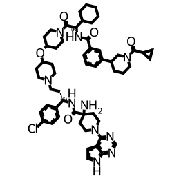 NC1(C(=O)N[C@@H](CCN2CCC(OC3CCN(C(=O)[C@H](NC(=O)c4cccc(C5CCCN(C(=O)C6CC6)C5)c4)C4CCCCC4)CC3)CC2)c2ccc(Cl)cc2)CCN(c2ncnc3[nH]ccc23)CC1